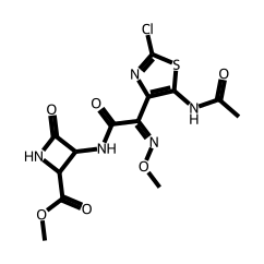 CON=C(C(=O)NC1C(=O)NC1C(=O)OC)c1nc(Cl)sc1NC(C)=O